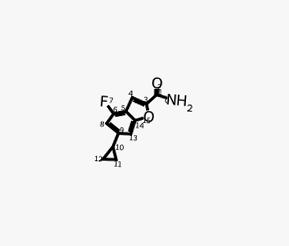 NC(=O)c1cc2c(F)cc(C3CC3)cc2o1